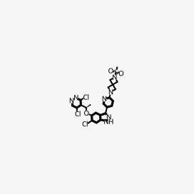 C[C@@H](Oc1cc2c(-c3ccc(N4CC5(C4)CN(S(C)(=O)=O)C5)nc3)n[nH]c2cc1Cl)c1c(Cl)cnnc1Cl